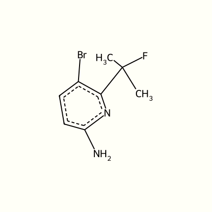 CC(C)(F)c1nc(N)ccc1Br